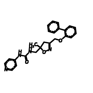 CC1(CNC(=O)Nc2ccncc2)CC(COc2ccccc2-c2ccccc2)=NO1